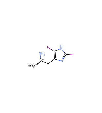 N[C@@H](Cc1nc(I)[nH]c1I)C(=O)O